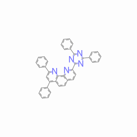 c1ccc(-c2cc(-c3ccccc3)c3ccc4ccc(-c5nc(-c6ccccc6)nc(-c6ccccc6)n5)nc4c3n2)cc1